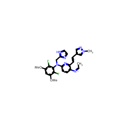 C/C=N\c1ccc(N(Cc2ncc[nH]2)c2c(F)c(OC)cc(OC)c2F)nc1/C=C/c1cnn(C)c1